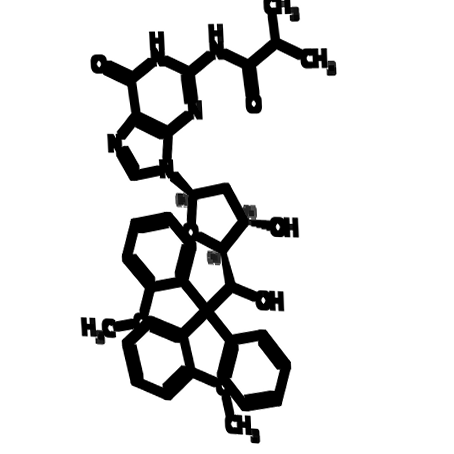 COc1ccccc1C(c1ccccc1)(c1ccccc1OC)C(O)[C@H]1O[C@@H](n2cnc3c(=O)[nH]c(NC(=O)C(C)C)nc32)C[C@@H]1O